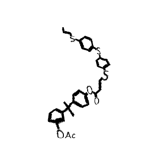 CC=CSc1ccc(Sc2ccc(SC=CC(=O)Oc3ccc(C(C)(C)c4cccc(OC(C)=O)c4)cc3)cc2)cc1